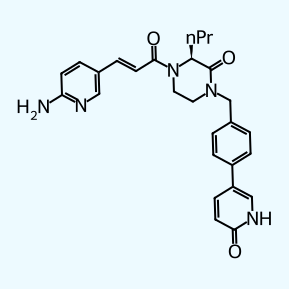 CCC[C@H]1C(=O)N(Cc2ccc(-c3ccc(=O)[nH]c3)cc2)CCN1C(=O)C=Cc1ccc(N)nc1